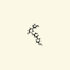 Bc1cnc(-c2cccc(Cn3nc(-c4cnn(C)c4)ccc3=O)c2)nc1